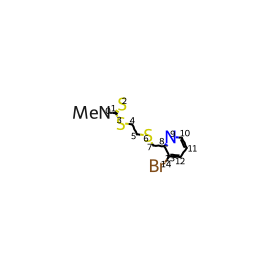 CNC(=S)SCCSCc1ncccc1Br